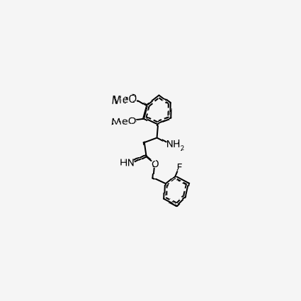 COc1cccc(C(N)CC(=N)OCc2ccccc2F)c1OC